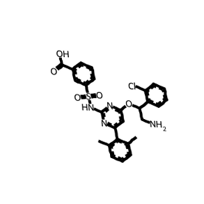 Cc1cccc(C)c1-c1cc(OC(CN)c2ccccc2Cl)nc(NS(=O)(=O)c2cccc(C(=O)O)c2)n1